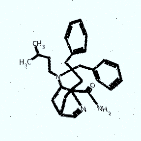 CC(C)CCN1C2CC3C=NC2(C(N)=O)C(C3)C1(Cc1ccccc1)Cc1ccccc1